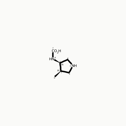 C[C@@H]1CNC[C@@H]1NC(=O)O